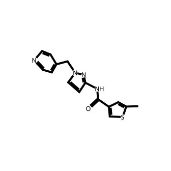 Cc1cc(C(=O)Nc2ccn(Cc3ccncc3)n2)cs1